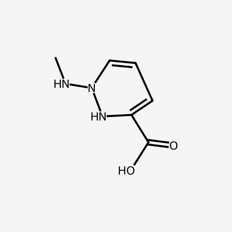 CNN1C=CC=C(C(=O)O)N1